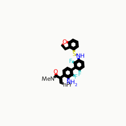 CCC/C=C(/C(=O)NC)c1ccc(-c2c(F)ccc(NSc3cccc4c3CCO4)c2F)c(F)c1N